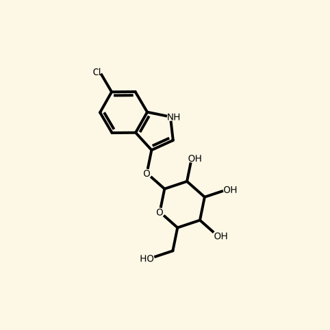 OCC1OC(Oc2c[nH]c3cc(Cl)ccc23)C(O)C(O)C1O